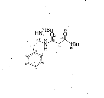 CC(C)(C)N[C@@H](Cc1ccccc1)NC(=O)CC(=O)C(C)(C)C